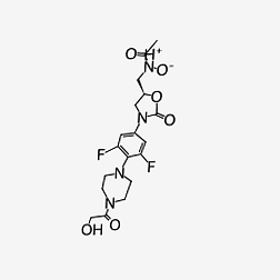 CC(=O)[NH+]([O-])C[C@@H]1CN(c2cc(F)c(N3CCN(C(=O)CO)CC3)c(F)c2)C(=O)O1